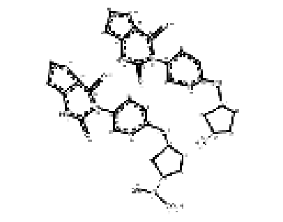 CC(C)(C)N(C(=O)O)[C@H]1CC[C@H](Nc2ccc(-n3c(=O)[nH]c4ccsc4c3=O)cn2)C1.N[C@H]1CC[C@H](Nc2ccc(-n3c(=O)[nH]c4ccsc4c3=O)cn2)C1